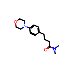 CN(C)C(=O)CCCc1ccc(N2CCOCC2)cc1